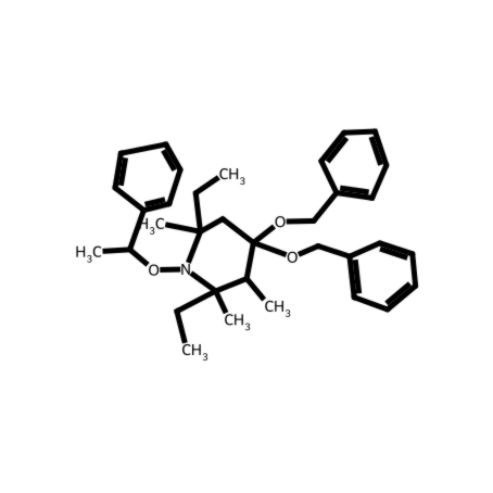 CCC1(C)CC(OCc2ccccc2)(OCc2ccccc2)C(C)C(C)(CC)N1OC(C)c1ccccc1